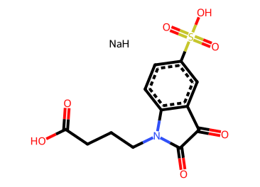 O=C(O)CCCN1C(=O)C(=O)c2cc(S(=O)(=O)O)ccc21.[NaH]